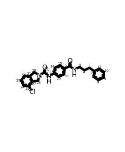 O=C(NCCCc1ccccc1)c1ccc(NC(=O)N2Cc3cccc(Cl)c3C2)cc1